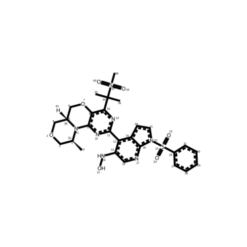 C[C@H]1COC[C@@H]2COc3c(nc(-c4c(NO)cnc5c4ccn5S(=O)(=O)c4ccccc4)nc3C(C)(C)S(C)(=O)=O)N21